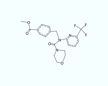 COC(=O)c1ccc(CN(C(=O)N2CCOCC2)c2cccc(C(F)(F)F)n2)cc1